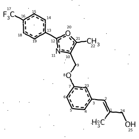 C/C(=C\c1cccc(OCc2nc(-c3ccc(C(F)(F)F)cc3)oc2C)c1)CO